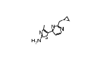 Cc1nc(N)sc1-c1ccnc(CC2CC2)n1